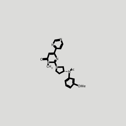 COc1cccc(N(C(C)=O)[C@@H]2CCN(c3nc(-c4ccncn4)cc(=O)n3C)C2)c1